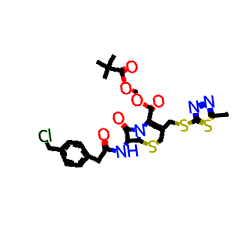 Cc1nnc(SCC2=C(C(=O)OCOC(=O)C(C)(C)C)N3C(=O)C(NC(=O)Cc4ccc(CCl)cc4)C3SC2)s1